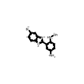 CCCNc1ccc(N)cc1-c1nc2cc(Br)ccc2o1